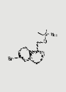 CC(C)(C)[Si](C)(C)OCc1nccc2cc(Br)ccc12